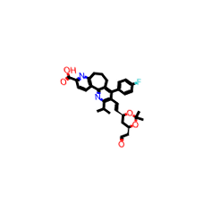 CC(C)c1nc2c(c(-c3ccc(F)cc3)c1/C=C/[C@@H]1C[C@H](CC=O)OC(C)(C)O1)CCCc1nc(C(=O)O)ccc1-2